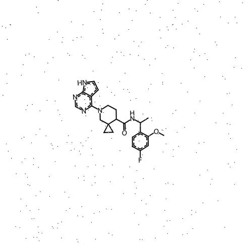 COc1cc(F)ccc1C(C)NC(=O)C1CCN(c2ncnc3[nH]ccc23)CC12CC2